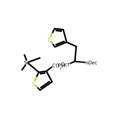 CCCCCCCCCCC(CCCCCCCC)Cc1ccsc1.C[Si](C)(C)c1sccc1C(=O)O